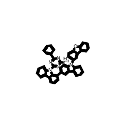 Cc1nc(-c2ccccc2)nc(-n2c3ccccc3c3cccc(-c4ccc5c(c4)c4ccccc4n5-c4ccc5oc6ccccc6c5c4)c32)n1